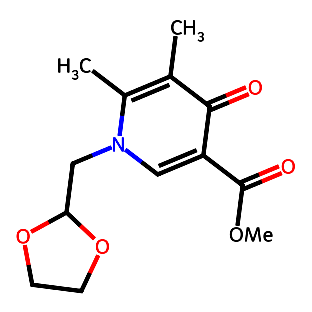 COC(=O)c1cn(CC2OCCO2)c(C)c(C)c1=O